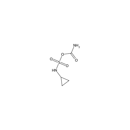 NC(=O)OS(=O)(=O)NC1CC1